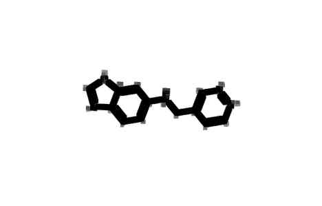 c1cc(CNc2ccc3ncoc3c2)cnn1